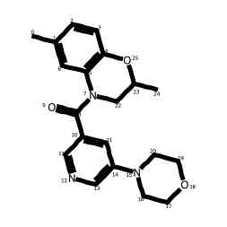 Cc1ccc2c(c1)N(C(=O)c1cncc(N3CCOCC3)c1)CC(C)O2